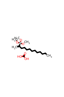 C=C(CCCCCCCCCCC)[Si](OC)(OC)OC.O=C(O)O